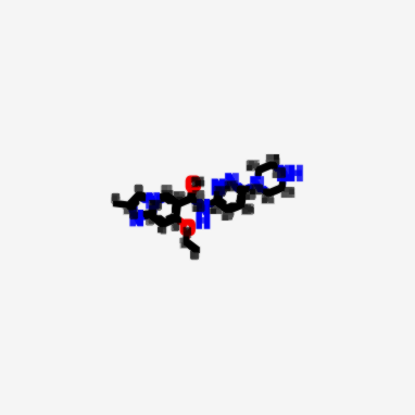 CCOc1cc2nc(C)cn2cc1C(=O)Nc1ccc(N2CCNCC2)nn1